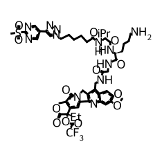 CC[C@@]1(OC(=O)C(F)(F)F)C(=O)OCc2c1cc1n(c2=O)Cc2c-1nc1cc3c(cc1c2CNC(=O)CNC(=O)[C@H](CCCCN)NC(=O)[C@@H](NC(=O)CCCCCn1cc(-c2cnc(S(C)(=O)=O)nc2)nn1)C(C)C)OCO3